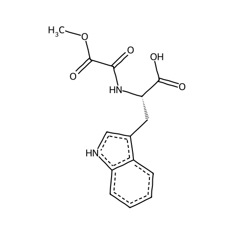 COC(=O)C(=O)N[C@@H](Cc1c[nH]c2ccccc12)C(=O)O